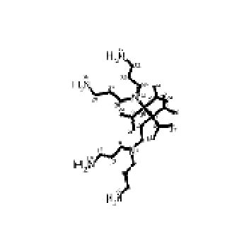 CC(C)C(CCN(CCCN)CCCN)(C(C)C)C(C(C)C)(C(C)C)N(CCCN)CCCN